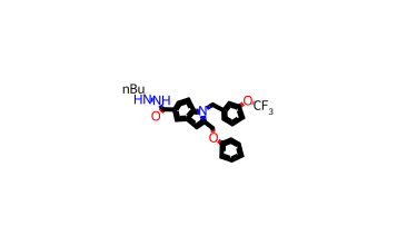 CCCCNNC(=O)c1ccc2c(c1)cc(COc1ccccc1)n2Cc1cccc(OC(F)(F)F)c1